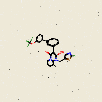 Cc1ccc[n+]2c(=O)c(-c3cccc(-c4cccc(OC(F)(F)F)c4)c3)c(O)n(Cc3cnc(Cl)s3)c12